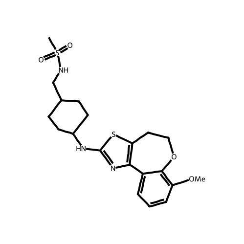 COc1cccc2c1OCCc1sc(NC3CCC(CNS(C)(=O)=O)CC3)nc1-2